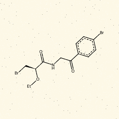 CCO[C@@H](CBr)C(=O)NCC(=O)c1ccc(Br)cc1